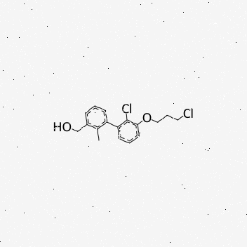 Cc1c(CO)cccc1-c1cccc(OCCCCl)c1Cl